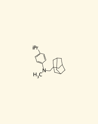 CC(C)c1ccc(N(C)CC23CC4CC(CC(C4)C2)C3)cc1